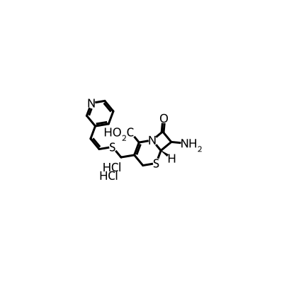 Cl.Cl.NC1C(=O)N2C(C(=O)O)=C(CS/C=C\c3cccnc3)CS[C@@H]12